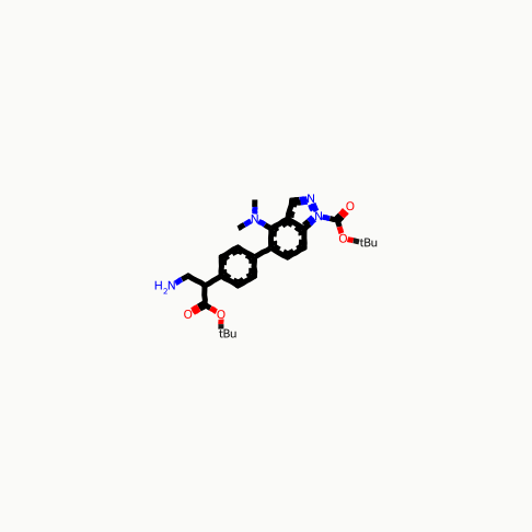 CN(C)c1c(-c2ccc(C(CN)C(=O)OC(C)(C)C)cc2)ccc2c1cnn2C(=O)OC(C)(C)C